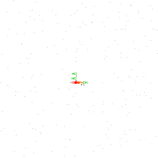 Cl.Cl.Cl.O=P